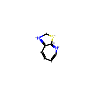 C1=CN=C2SCN=C2C=C1